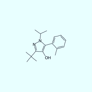 Cc1ccccc1-c1c(O)c(C(C)(C)C)nn1C(C)C